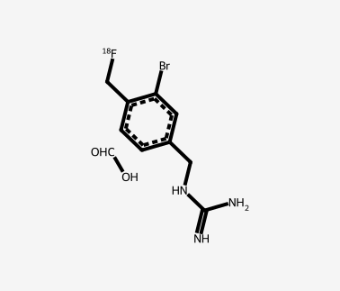 N=C(N)NCc1ccc(C[18F])c(Br)c1.O=CO